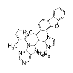 Cc1ccccc1N1c2ncncc2N(C)C1C1C(C)c2ccc3c(oc4ccccc43)c2N2C=CN(C)C12